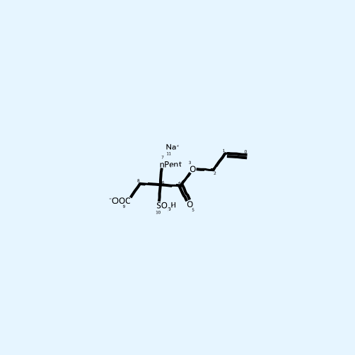 C=CCOC(=O)C(CCCCC)(CC(=O)[O-])S(=O)(=O)O.[Na+]